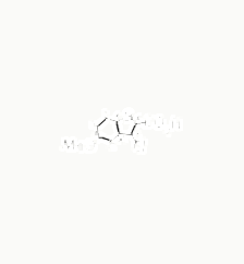 COc1ccc2sc(C(=O)O)c(Cl)c2c1